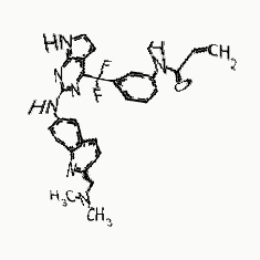 C=CC(=O)Nc1cccc(C(F)(F)c2nc(Nc3ccc4nc(CN(C)C)ccc4c3)nc3[nH]ccc23)c1